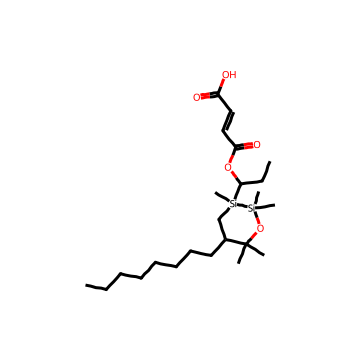 CCCCCCCCC1C[Si](C)(C(CC)OC(=O)C=CC(=O)O)[Si](C)(C)OC1(C)C